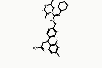 CC1CN(/C(=N\C2CCCCC2)NCc2ccc(C(CC(N)=O)c3ccc(Cl)cc3Cl)cc2)C(C)CN1